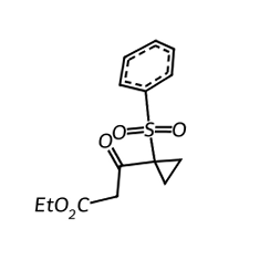 CCOC(=O)CC(=O)C1(S(=O)(=O)c2ccccc2)CC1